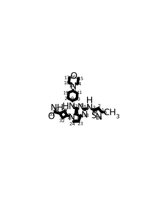 Cc1cc(Nc2nc(N[C@H]3CC[C@H](N4CCOCC4)CC3)c3c(ccn3C3CC(C(N)=O)C3)n2)sn1